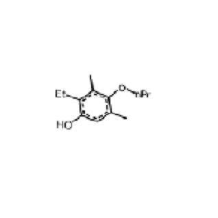 CCCOc1c(C)cc(O)c(CC)c1C